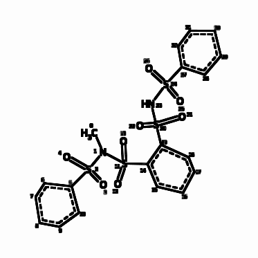 CN(S(=O)(=O)c1ccccc1)S(=O)(=O)c1ccccc1S(=O)(=O)NS(=O)(=O)c1ccccc1